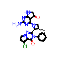 CC[C@@H]1CN(c2nc(N)nc3c2C(=O)CN3)[C@@H]1c1nn2ccc(Cl)c2c(=O)n1-c1ccccc1